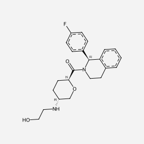 O=C([C@@H]1CC[C@@H](NCCO)CO1)N1CCc2ccccc2[C@@H]1c1ccc(F)cc1